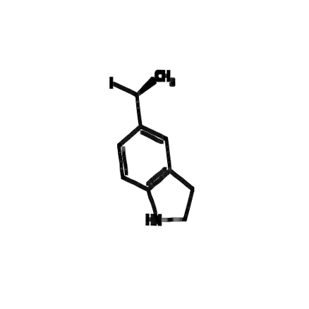 C[C@H](I)c1ccc2c(c1)CCN2